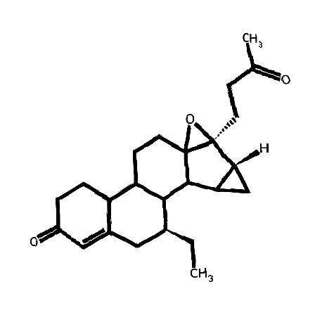 CC[C@H]1CC2=CC(=O)CCC2C2CCC34O[C@@]3(CCC(C)=O)[C@@H]3CC3C4C21